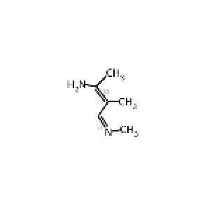 C/N=C\C(C)=C(\C)N